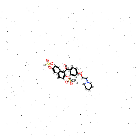 CS(=O)(=O)Oc1ccc2c(C(=O)c3ccc(OCCN4CCCCC4)cc3)c(OS(=O)(=O)C(F)(F)F)ccc2c1